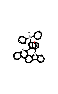 O=P(c1ccccc1)(c1ccccc1)c1cccc(-c2nc3ccccc3c3ccc4c5ccccc5n(-c5ccccc5)c4c23)c1